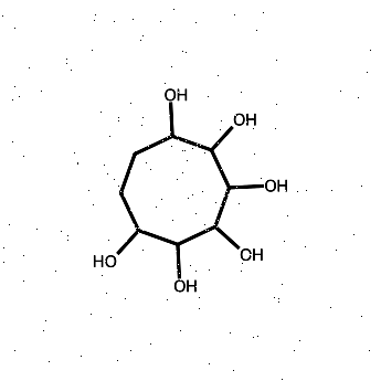 OC1CCC(O)C(O)C(O)C(O)C1O